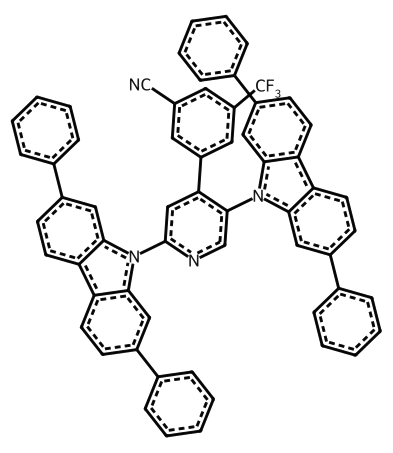 N#Cc1cc(-c2cc(-n3c4cc(-c5ccccc5)ccc4c4ccc(-c5ccccc5)cc43)ncc2-n2c3cc(-c4ccccc4)ccc3c3ccc(-c4ccccc4)cc32)cc(C(F)(F)F)c1